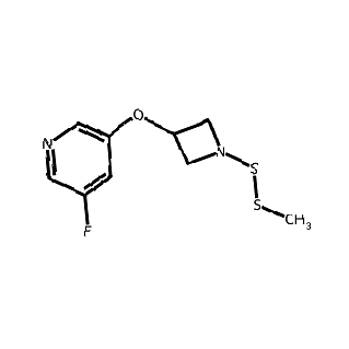 CSSN1CC(Oc2cncc(F)c2)C1